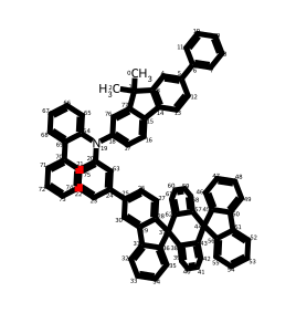 CC1(C)c2cc(-c3ccccc3)ccc2-c2ccc(N(c3cccc(-c4ccc5c(c4)-c4ccccc4C54c5ccccc5C5(c6ccccc6-c6ccccc65)c5ccccc54)c3)c3ccccc3-c3ccccc3)cc21